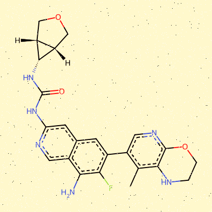 Cc1c(-c2cc3cc(NC(=O)N[C@@H]4[C@@H]5COC[C@@H]54)ncc3c(N)c2F)cnc2c1NCCO2